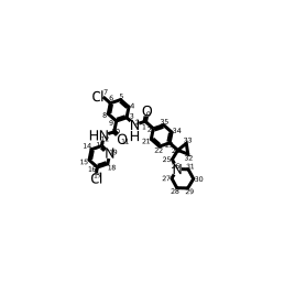 O=C(Nc1ccc(Cl)cc1C(=O)Nc1ccc(Cl)cn1)c1ccc(C2(CN3CCCCC3)CC2)cc1